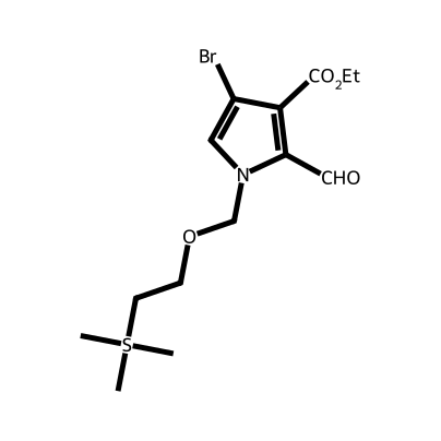 CCOC(=O)c1c(Br)cn(COCCS(C)(C)C)c1C=O